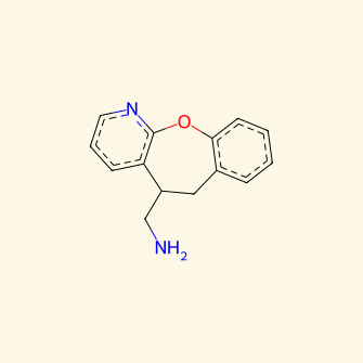 NCC1Cc2ccccc2Oc2ncccc21